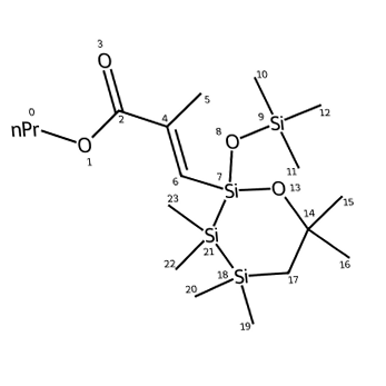 CCCOC(=O)C(C)=C[Si]1(O[Si](C)(C)C)OC(C)(C)C[Si](C)(C)[Si]1(C)C